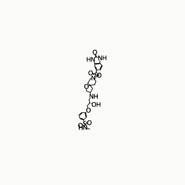 CNS(=O)(=O)c1cccc(OC[C@@H](O)CNC2COC3(CCN(S(=O)(=O)c4ccc5[nH]c(=O)[nH]c5c4)CC3)C2)c1